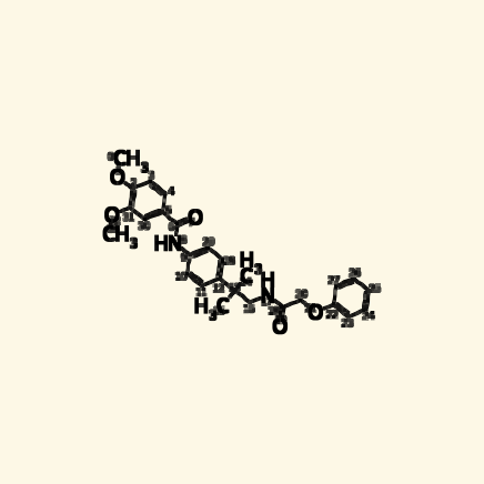 COc1ccc(C(=O)Nc2ccc(C(C)(C)CNC(=O)COc3ccccc3)cc2)cc1OC